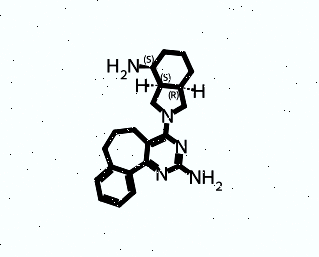 Nc1nc2c(c(N3C[C@@H]4CCC[C@H](N)[C@@H]4C3)n1)CCCc1ccccc1-2